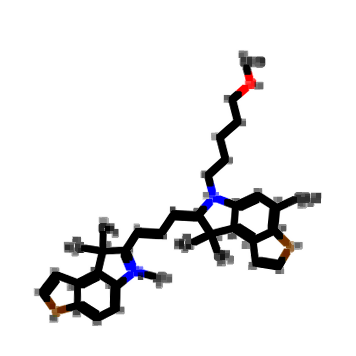 CCCC[N+]1=C(/C=C/C=C2/N(CCCCCOC=O)c3cc(S(=O)(=O)O)c4sccc4c3C2(C)C)C(C)(C)c2c1ccc1sccc21